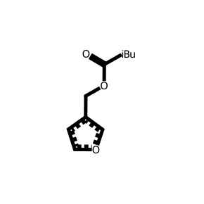 CCC(C)C(=O)OCc1ccoc1